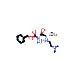 CC[C@H](C)[C@H](NCCN(C)C)C(=O)NC(=O)OCc1ccccc1